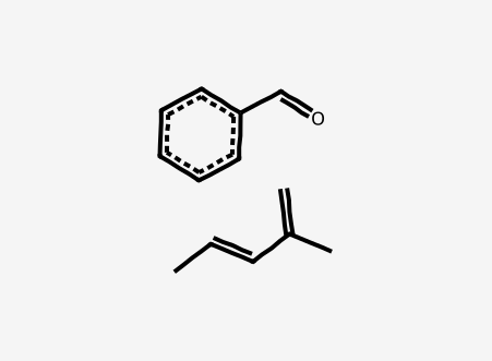 C=C(C)/C=C/C.O=Cc1ccccc1